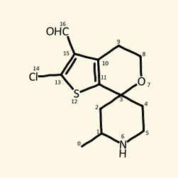 CC1CC2(CCN1)OCCc1c2sc(Cl)c1C=O